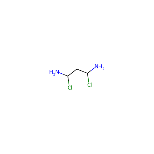 NC(Cl)CC(N)Cl